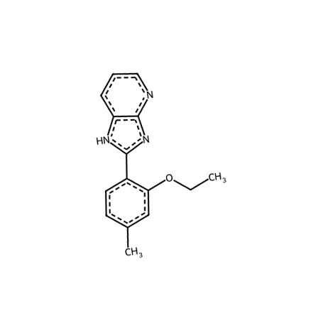 CCOc1cc(C)ccc1-c1nc2ncccc2[nH]1